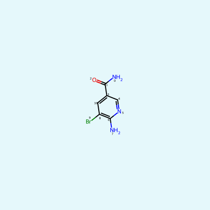 NC(=O)c1cnc(N)c(Br)c1